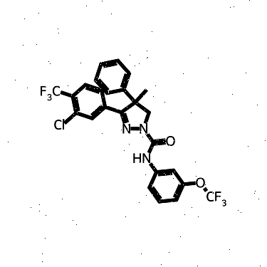 CC1(c2ccccc2)CN(C(=O)Nc2cccc(OC(F)(F)F)c2)N=C1c1ccc(C(F)(F)F)c(Cl)c1